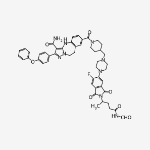 CC(CCC(=O)NC=O)N1C(=O)c2cc(F)c(N3CCN(CC4CCN(C(=O)c5ccc6c(c5)CCn5nc(-c7ccc(Oc8ccccc8)cc7)c(C(N)=O)c5N6)CC4)CC3)cc2C1=O